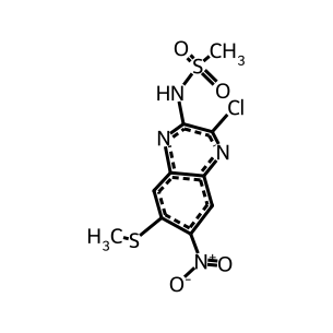 CSc1cc2nc(NS(C)(=O)=O)c(Cl)nc2cc1[N+](=O)[O-]